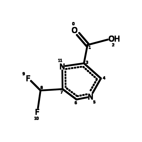 O=C(O)c1cncc(C(F)F)n1